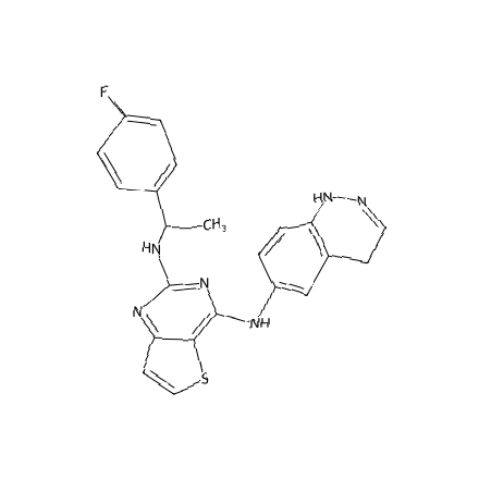 CC(Nc1nc(Nc2ccc3c(c2)CC=NN3)c2sccc2n1)c1ccc(F)cc1